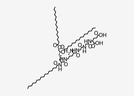 CCCCCCCCCCCCCCCC(=O)NC(CSC[C@@H](COC(=O)CCCCCCCCCCCCCCC)OC(=O)CCCCCCCCCCCCCCC)C(=O)NCCC[C@@H](N)C(=O)NCC(=O)NCC(=O)NC(CCC(=O)O)C(=O)O